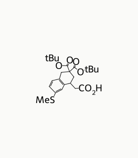 CSc1ccc2c(c1)C(CC(=O)O)CC(C(=O)OC(C)(C)C)(C(=O)OC(C)(C)C)C2